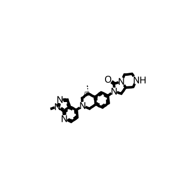 C[C@H]1CN(c2ccnc3c2cnn3C)Cc2ccc(N3CC4CNCCN4C3=O)cc21